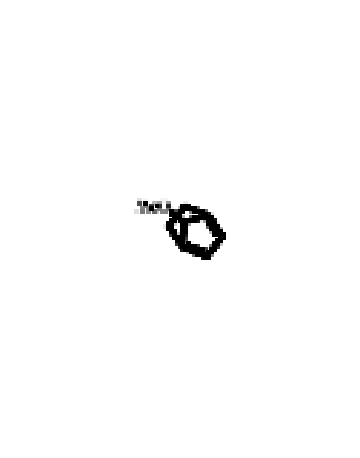 COC1C2=CC=C1CC2